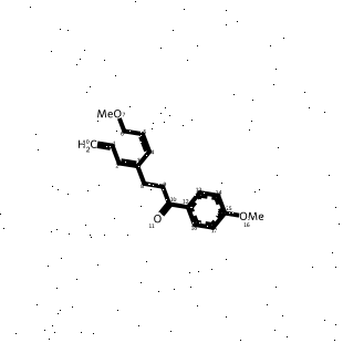 C=C/C=C(\C=C/COC)CCC(=O)c1ccc(OC)cc1